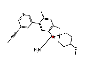 CC#Cc1cncc(-c2cc3c(cc2C)CC2(CCC(OC)CC2)C32N=CC(N)=N2)c1